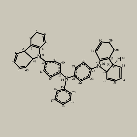 C1=CC2C3=C(C=CCC3)N(c3ccc(N(c4ccccc4)c4ccc(N5C6=C(CCC=C6)[C@H]6C=CC=CC65)cc4)cc3)C2C=C1